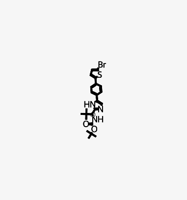 CC(C)(C)OC(=O)N[C@H](c1ncc(-c2ccc(-c3ccc(Br)s3)cc2)[nH]1)C(C)(C)C